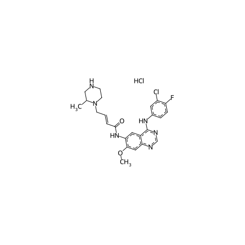 COc1cc2ncnc(Nc3ccc(F)c(Cl)c3)c2cc1NC(=O)/C=C/CN1CCNCC1C.Cl